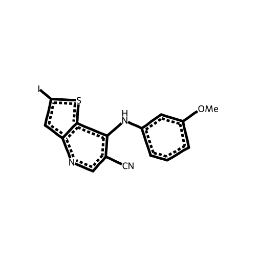 COc1cccc(Nc2c(C#N)cnc3cc(I)sc23)c1